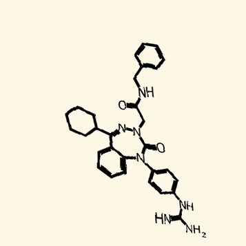 N=C(N)Nc1ccc(N2C(=O)N(CC(=O)NCc3ccccc3)N=C(C3CCCCC3)c3ccccc32)cc1